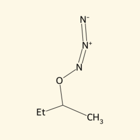 [CH2]CC(C)ON=[N+]=[N-]